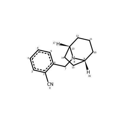 N#Cc1ccccc1CN1[C@@H]2CCC[C@H]1CC2